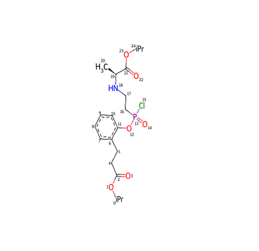 CC(C)OC(=O)CCc1ccccc1OP(=O)(Cl)CCN[C@@H](C)C(=O)OC(C)C